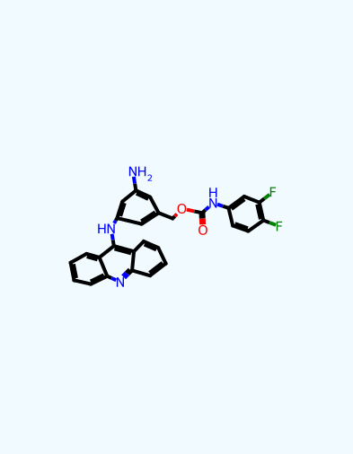 Nc1cc(COC(=O)Nc2ccc(F)c(F)c2)cc(Nc2c3ccccc3nc3ccccc23)c1